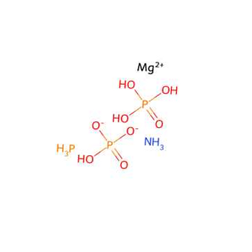 N.O=P(O)(O)O.O=P([O-])([O-])O.P.[Mg+2]